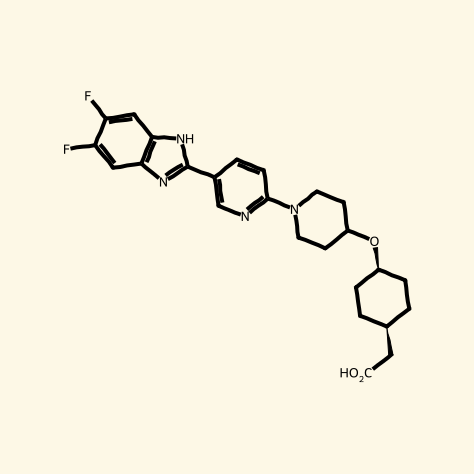 O=C(O)C[C@H]1CC[C@@H](OC2CCN(c3ccc(-c4nc5cc(F)c(F)cc5[nH]4)cn3)CC2)CC1